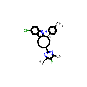 Cc1ccc([C@@H]2CCC(c3nc(C)c(F)c(C#N)n3)CCCc3c2[nH]c2ccc(Cl)cc32)cc1